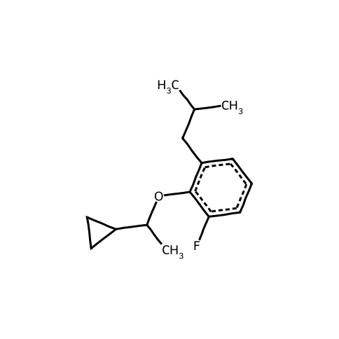 CC(C)Cc1cccc(F)c1OC(C)C1CC1